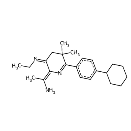 CC/N=C1/CC(C)(C)C(c2ccc(C3CCCCC3)cc2)=N/C1=C(/C)N